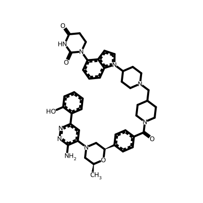 C[C@H]1CN(c2cc(-c3ccccc3O)nnc2N)C[C@@H](c2ccc(C(=O)N3CCC(CN4CCC(n5ccc6c(N7CCC(=O)NC7=O)cccc65)CC4)CC3)cc2)O1